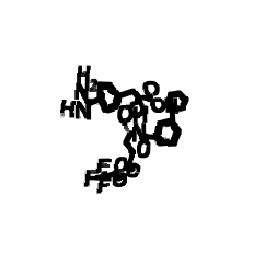 N=C(N)c1ccc(CC(=O)C(=O)O)c(OC[C@@H](CCC(=O)OC(=O)C(F)(F)F)NC(=O)c2cccc(-c3ccccc3)c2)c1